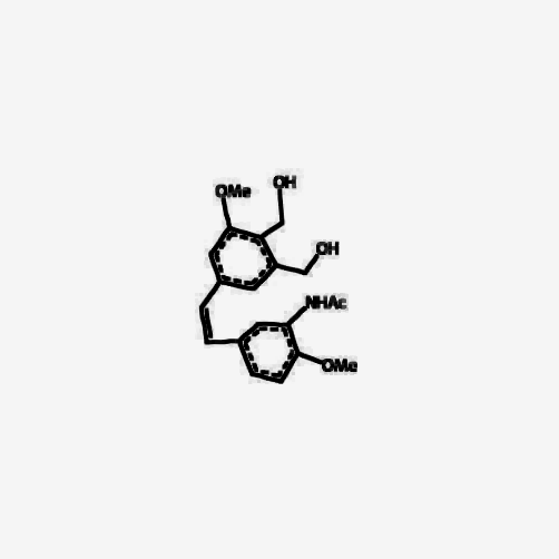 COc1ccc(/C=C\c2cc(CO)c(CO)c(OC)c2)cc1NC(C)=O